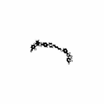 Cn1c(-c2cccc(OCCCCCN3CCN(c4ccc(C(=O)NC5C(C)(C)C(Oc6ccc(C#N)c(Cl)c6)C5(C)C)cc4)CC3)c2)nn([C@@H]2CCC(=O)NC2=O)c1=O